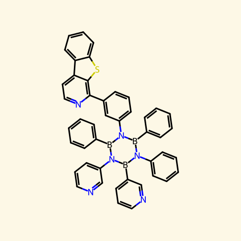 c1ccc(B2N(c3ccccc3)B(c3cccnc3)N(c3cccnc3)B(c3ccccc3)N2c2cccc(-c3nccc4c3sc3ccccc34)c2)cc1